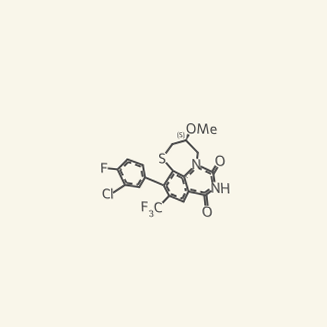 CO[C@@H]1CSc2c(-c3ccc(F)c(Cl)c3)c(C(F)(F)F)cc3c(=O)[nH]c(=O)n(c23)C1